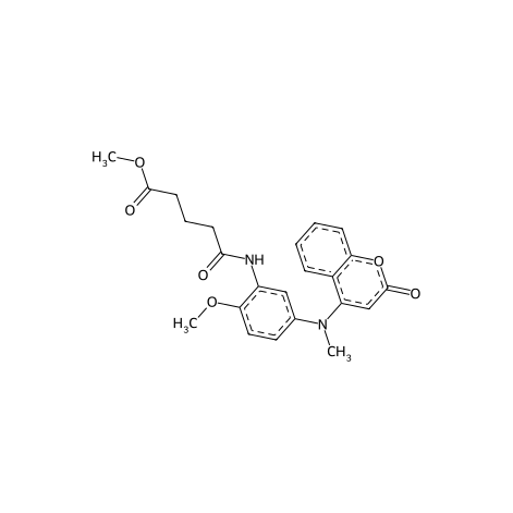 COC(=O)CCCC(=O)Nc1cc(N(C)c2cc(=O)oc3ccccc23)ccc1OC